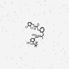 C[C@H](Cc1cccc(CC(=O)NCc2cccc(Cl)c2Cl)c1)NC[C@H](O)c1ccc(O)c(NS(C)(=O)=O)c1